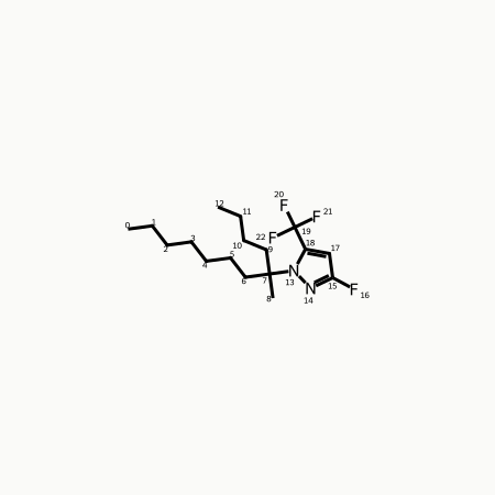 CCCCCCCC(C)(CCCC)n1nc(F)cc1C(F)(F)F